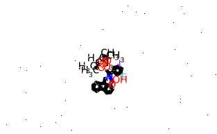 CC(C)(C)OP(=O)(OCC(c1cc(F)cc(I)c1)N(CC1c2ccccc2-c2ccccc21)C(=O)O)OC(C)(C)C